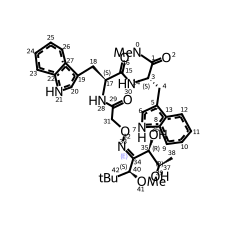 CNC(=O)[C@H](Cc1c[nH]c2ccccc12)NC(=O)[C@H](Cc1c[nH]c2ccccc12)NC(=O)CO/N=C(\[C@@H](O)[C@@H](C)O)[C@@H](OC)C(C)(C)C